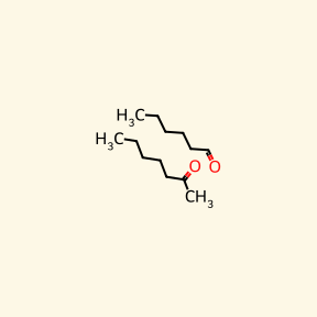 CCCCCC(C)=O.CCCCCC=O